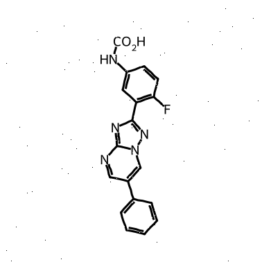 O=C(O)Nc1ccc(F)c(-c2nc3ncc(-c4ccccc4)cn3n2)c1